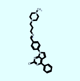 CN1CCN(CCC/N=C/c2ccc(-n3ccc4c(-c5ccccc5)nc(Cl)nc43)cc2)CC1